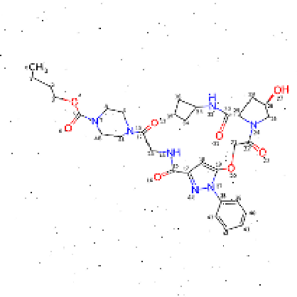 CCCCOC(=O)N1CCN(C(=O)CNC(=O)c2cc(OCC(=O)N3C[C@H](O)C[C@H]3C(=O)NC3CCC3)n(-c3ccccc3)n2)CC1